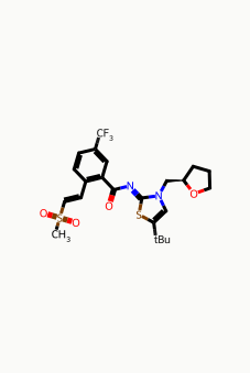 CC(C)(C)c1cn(C[C@H]2CCCO2)c(=NC(=O)c2cc(C(F)(F)F)ccc2C=CS(C)(=O)=O)s1